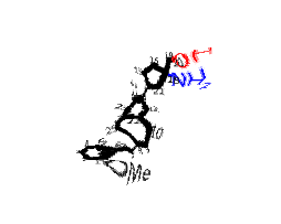 COc1ccccc1C[C@@H]1CCc2cc([C@H]3CC[C@](N)(CO)C3)ccc2C1